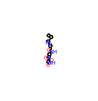 O=C1CCC(N2Cc3cc(NC(=O)CC4CCN(c5cc(-c6cccc7ccccc67)ccn5)CC4)ccc3C2=O)C(=O)N1